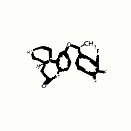 C[C@@H](Oc1ccc2c(c1)N1CCNC[C@@H]1CC(=O)N2)c1ccc(F)c(F)c1F